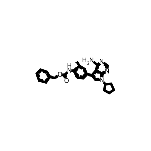 Cc1cc(-c2cn(C3CCCC3)c3ncnc(N)c23)ccc1NC(=O)OCc1ccccc1